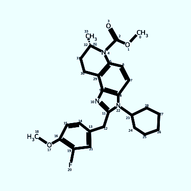 COC(=O)N1c2ccc3c(nc(Cc4ccc(OC)c(F)c4)n3C3CCCCC3)c2CC[C@@H]1C